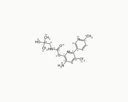 Cc1ccc(-c2nc(OC(=O)NCC(C)(O)C(F)(F)F)c(N)cc2C(F)(F)F)cn1